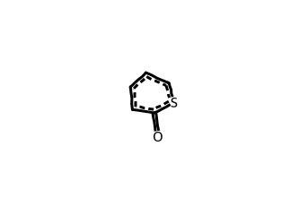 O=c1ccccs1